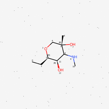 CC[C@H]1OC[C@](C)(O)C(NC)[C@H]1O